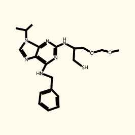 COCOCC(CS)Nc1nc(NCc2ccccc2)c2ncn(C(C)C)c2n1